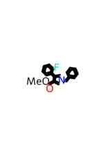 COC(=O)C1CN(Cc2ccccc2)CC1c1ccccc1F